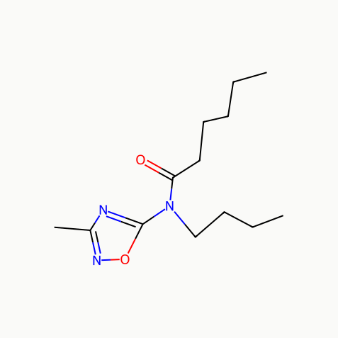 CCCCCC(=O)N(CCCC)c1nc(C)no1